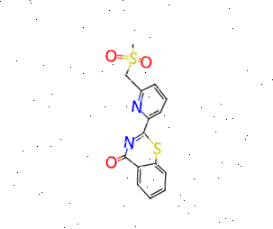 CS(=O)(=O)Cc1cccc(-c2nc(=O)c3ccccc3s2)n1